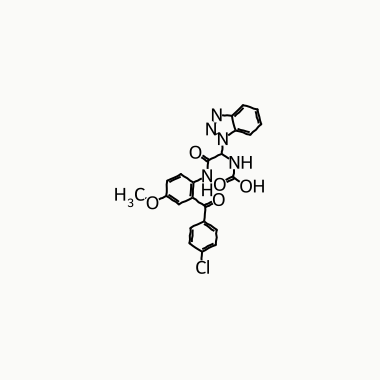 COc1ccc(NC(=O)C(NC(=O)O)n2nnc3ccccc32)c(C(=O)c2ccc(Cl)cc2)c1